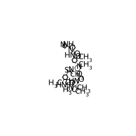 COc1cc([C@H]2CC[C@@H](OCC(=O)NC[C@H](C(=O)N3CCC[C@H]3C(=O)N[C@@H](C)c3ccc(-c4scnc4C)cc3)C(C)(C)C)CN2C)ccc1NC(=O)c1cccc(-c2ccn[nH]2)n1